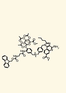 CCCCc1nc2c(N)nc3cc(C(=O)OC)ccc3c2n1Cc1ccc(C[N+](C)(C)Cc2ccc(O[C@@H]3O[C@H](C(=O)OC)[C@@H](OC(C)=O)[C@H](OC(C)=O)[C@H]3OC(C)=O)c(NC(=O)CCNC(=O)OCC3c4ccccc4-c4ccccc43)c2)cc1